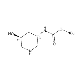 CC(C)(C)OC(=O)N[C@@H]1CNC[C@@H](O)C1